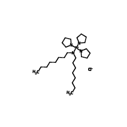 CCCCCCCCN(CCCCCCCC)[P+](N1CCCC1)(N1CCCC1)N1CCCC1.[Cl-]